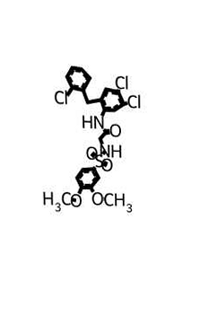 COc1ccc(S(=O)(=O)NCC(=O)Nc2cc(Cl)c(Cl)cc2Cc2ccccc2Cl)cc1OC